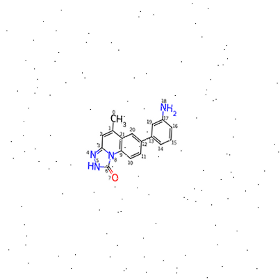 Cc1cc2n[nH]c(=O)n2c2ccc(-c3cccc(N)c3)cc12